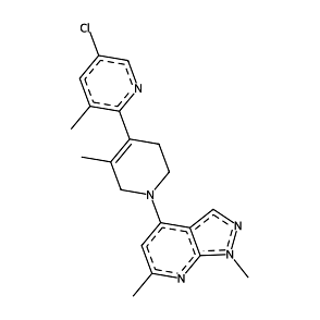 CC1=C(c2ncc(Cl)cc2C)CCN(c2cc(C)nc3c2cnn3C)C1